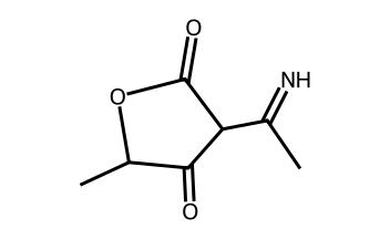 CC(=N)C1C(=O)OC(C)C1=O